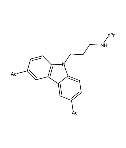 CCCNCCCn1c2ccc(C(C)=O)cc2c2cc(C(C)=O)ccc21